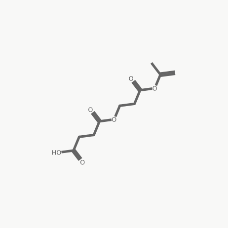 C=C(C)OC(=O)CCOC(=O)CCC(=O)O